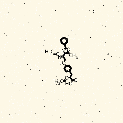 CCON=C(COc1ccc(CC(OCC)C(=O)O)cc1)c1nc(-c2ccccc2)oc1C